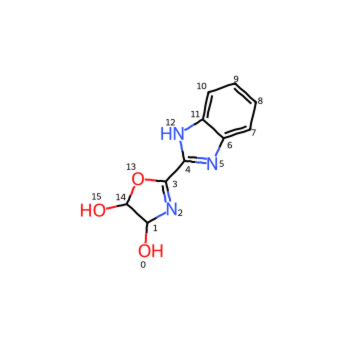 OC1N=C(c2nc3ccccc3[nH]2)OC1O